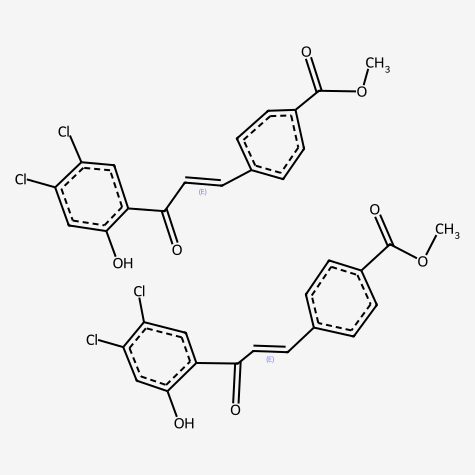 COC(=O)c1ccc(/C=C/C(=O)c2cc(Cl)c(Cl)cc2O)cc1.COC(=O)c1ccc(/C=C/C(=O)c2cc(Cl)c(Cl)cc2O)cc1